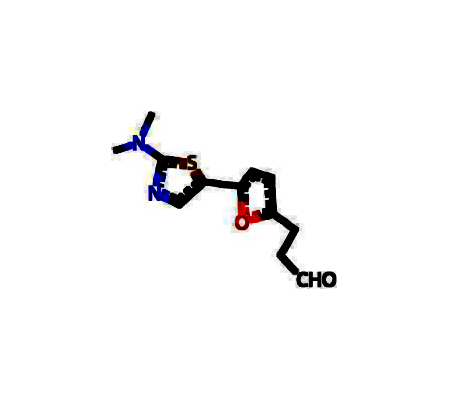 CN(C)c1ncc(-c2ccc(CCC=O)o2)s1